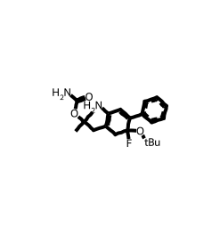 CC(C)(C)OC1(F)CC(CC(C)(C)OC(N)=O)=C(N)C=C1c1ccccc1